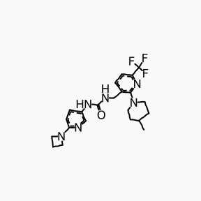 CC1CCN(c2nc(C(F)(F)F)ccc2CNC(=O)Nc2ccc(N3CCC3)nc2)CC1